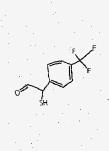 O=[C]C(S)c1ccc(C(F)(F)F)cc1